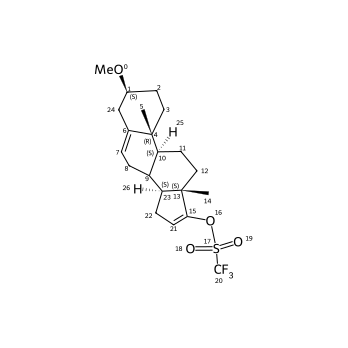 CO[C@H]1CC[C@@]2(C)C(=CCC3[C@@H]2CC[C@]2(C)C(OS(=O)(=O)C(F)(F)F)=CC[C@@H]32)C1